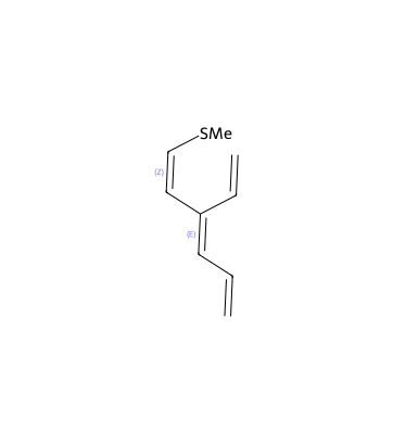 C=C/C=C(C=C)/C=C\SC